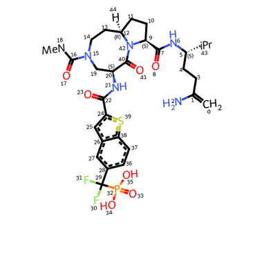 C=C(N)CC[C@H](NC(=O)[C@@H]1CC[C@@H]2CCN(C(=O)NC)C[C@H](NC(=O)c3cc4cc(C(F)(F)P(=O)(O)O)ccc4s3)C(=O)N21)C(C)C